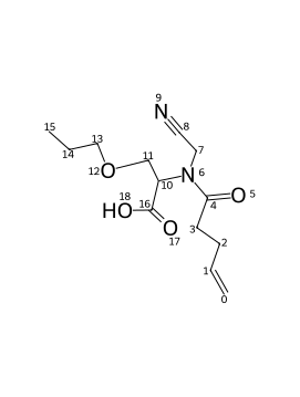 C=CCCC(=O)N(CC#N)C(COCCC)C(=O)O